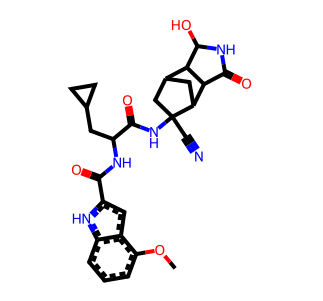 COc1cccc2[nH]c(C(=O)NC(CC3CC3)C(=O)NC3(C#N)CC4CC3C3C(=O)NC(O)C43)cc12